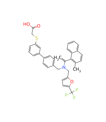 C=C(c1c(C)ccc2ccccc12)N(Cc1ccc(-c2cccc(SCC(=O)O)c2)cc1)Cc1ccc(C(F)(F)F)o1